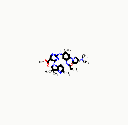 C=CC(=O)Nc1cc(Nc2ncc(C(=O)OC(C)C)c(N3CC(C)(C)c4nc(C)ccc43)n2)c(OC)cc1N1CC[C@H](N(C)C)C1